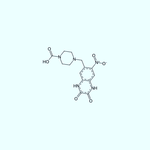 O=C(O)N1CCN(Cc2cc3[nH]c(=O)c(=O)[nH]c3cc2[N+](=O)[O-])CC1